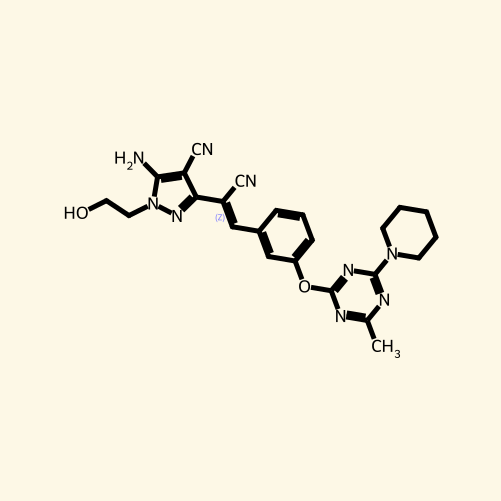 Cc1nc(Oc2cccc(/C=C(\C#N)c3nn(CCO)c(N)c3C#N)c2)nc(N2CCCCC2)n1